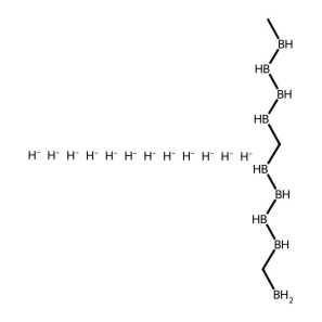 BCBBBBCBBBBC.[H-].[H-].[H-].[H-].[H-].[H-].[H-].[H-].[H-].[H-].[H-].[H-]